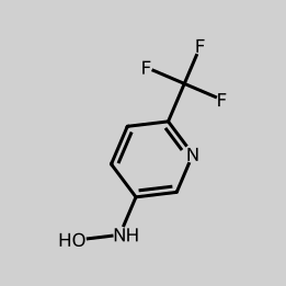 ONc1ccc(C(F)(F)F)nc1